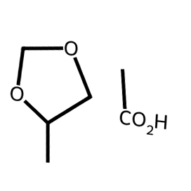 CC(=O)O.CC1COCO1